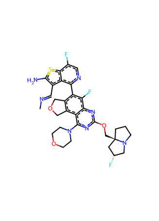 C/N=C/c1c(N)sc2c(F)cnc(-c3c4c(c5c(N6CCOCC6)nc(OC[C@@]67CCCN6C[C@H](F)C7)nc5c3F)COC4)c12